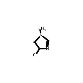 CN1[C]C(Cl)N=[C]1